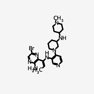 CC=C(Nc1cnccc1N1CCCC(NC2CCN(C)CC2)C1)c1nc(Br)cnc1N